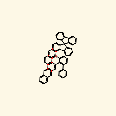 c1ccc(-c2ccccc2-c2c(-c3ccccc3)cccc2N(c2cccc(-c3ccc4ccccc4c3)c2)c2cccc3c2-c2ccccc2C32c3ccccc3-c3ccccc32)cc1